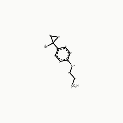 CCC1(c2ccc(OCCC(=O)O)cc2)CC1